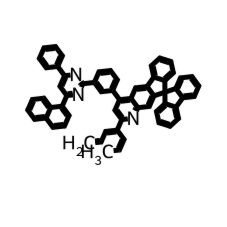 C=C/C=C(\C=C/C)c1cc(-c2cccc(-c3nc(-c4ccccc4)cc(-c4cccc5ccccc45)n3)c2)c2cc3c(cc2n1)C1(c2ccccc2-c2ccccc21)c1ccccc1-3